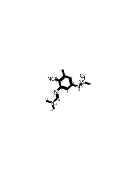 Cc1cc(/N=[SH](/C)=O)cc(/N=C/N(C)C)c1C#N